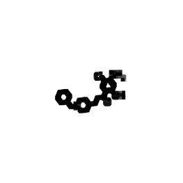 Nc1cc(O)c(C(=O)CCC2CCN(CC3CCCCC3)CC2)cc1Cl